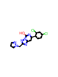 Oc1nc(-c2ccc(Cl)cc2Cl)cc2nc(Cn3cccn3)nn12